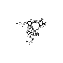 C=CC[C@H](O)[C@@]1(C)CC[C@H]1CN1CCCCc2cc(Cl)ccc2COc2ccc(C(=O)O)cc21